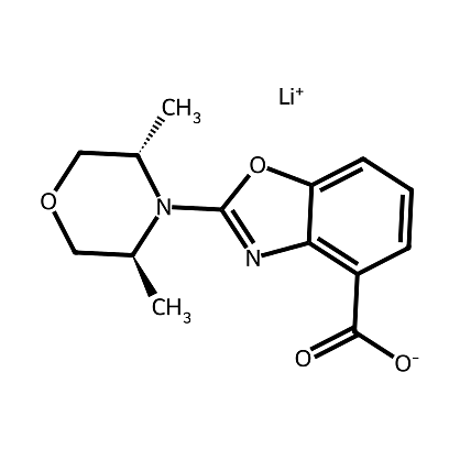 C[C@H]1COC[C@H](C)N1c1nc2c(C(=O)[O-])cccc2o1.[Li+]